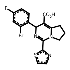 O=C(O)C1=C2CCCN2C(c2nccs2)=NC1c1ccc(F)cc1Br